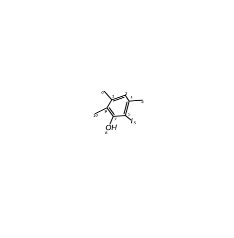 Cc1cc(C)c(I)c(O)c1C